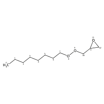 CCCCCCCCOOCC1CO1